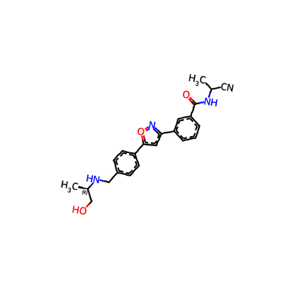 CC(C#N)NC(=O)c1cccc(-c2cc(-c3ccc(CN[C@H](C)CO)cc3)on2)c1